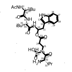 CC[C@H](C)[C@H](NC(C)=O)C(=O)N[C@H](C(=O)NC(Cc1c[nH]c2ccccc12)OC(=O)CCN(C(=O)[C@@H](N)C(C)C)[PH](=O)O)[C@@H](C)CC